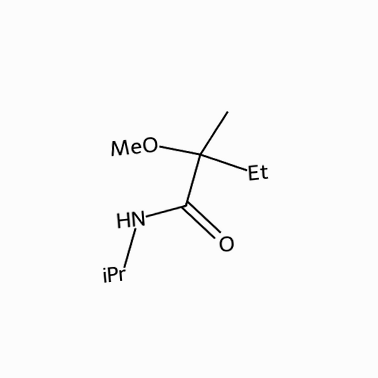 CCC(C)(OC)C(=O)NC(C)C